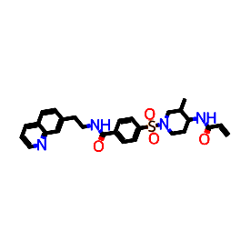 C=CC(=O)NC1CCN(S(=O)(=O)c2ccc(C(=O)NCCc3ccc4cccnc4c3)cc2)CC1C